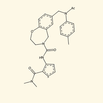 CC(=O)N(Cc1ccc2c(c1)CN(C(=O)Nc1ccsc1C(=O)N(C)C)CCO2)c1ccc(C)cc1